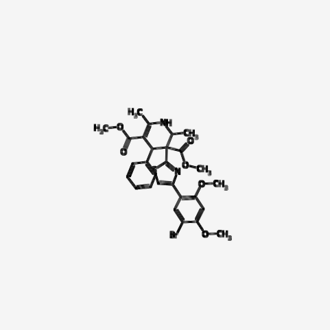 COC(=O)C1=C(C)NC(C)C(C(=O)OC)(c2nc(-c3cc(Br)c(OC)cc3OC)cs2)C1c1ccccc1